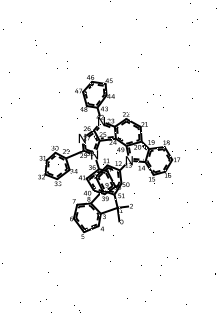 CC1(C)c2ccccc2-c2ccc(-n3c4ccccc4c4ccc5c(c6c(nc(-c7ccccc7)n6-c6ccccc6)n5-c5ccccc5)c43)cc21